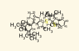 CCS(CC)(C1c2cc3c(c(-c4cc(C(C)(C)C)cc(C(C)(C)C)c4)c2CC1C)CCC3)C1C(C)C(C)C2c3ccccc3SC21